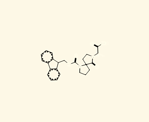 C[C@@H](C(=O)O)N1CCC2(CCCN2C(=O)OCC2c3ccccc3-c3ccccc32)C1=O